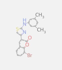 Cc1cc(C)cc(Nc2nc(-c3cc4cccc(Br)c4oc3=O)cs2)c1